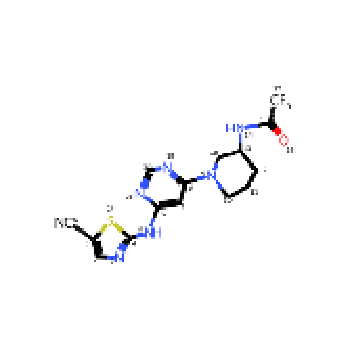 N#Cc1cnc(Nc2cc(N3CCCC(NC(=O)C(F)(F)F)C3)ncn2)s1